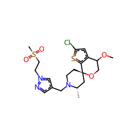 COC1CO[C@@]2(CCN(Cc3cnn(CCS(C)(=O)=O)c3)[C@@H](C)C2)c2sc(Cl)cc21